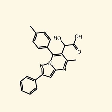 Cc1ccc(-c2c(C(O)C(=O)O)c(C)nc3cc(-c4ccccc4)nn23)cc1